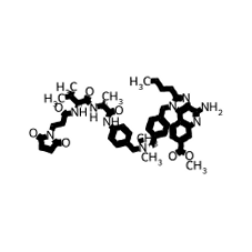 CCCCc1nc2c(N)nc3cc(C(=O)OC)ccc3c2n1Cc1ccc(C[N+](C)(C)Cc2ccc(NC(=O)[C@H](C)NC(=O)[C@@H](NC(=O)CCN3C(=O)C=CC3=O)C(C)C)cc2)cc1